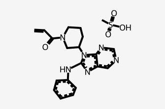 C=CC(=O)N1CCCC(n2c(Nc3ccccc3)nc3cncnc32)C1.CS(=O)(=O)O